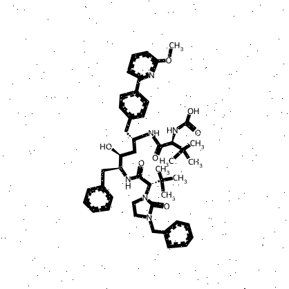 COc1cccc(-c2ccc(C[C@@H](C[C@H](O)[C@H](Cc3ccccc3)NC(=O)[C@@H](N3CCN(Cc4ccccc4)C3=O)C(C)(C)C)NC(=O)[C@@H](NC(=O)O)C(C)(C)C)cc2)n1